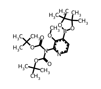 COc1c(B2OC(C)(C)C(C)(C)O2)ccnc1N(C(=O)OC(C)(C)C)C(=O)OC(C)(C)C